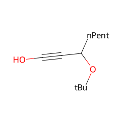 CCCCCC(C#CO)OC(C)(C)C